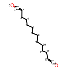 O=C=CCCCCCCCCCCC=C=O